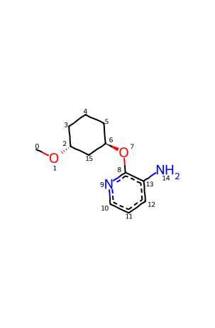 CO[C@@H]1CCC[C@@H](Oc2ncccc2N)C1